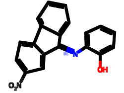 O=[N+]([O-])c1ccc2c(c1)/C(=N/c1ccccc1O)c1ccccc1-2